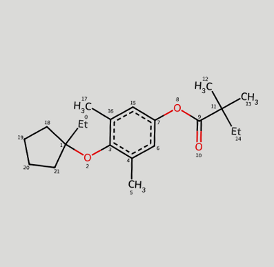 CCC1(Oc2c(C)cc(OC(=O)C(C)(C)CC)cc2C)CCCC1